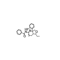 CCC1OCC2(c3ccccc3F)N=C(NC(=O)c3ccccc3)SCC12